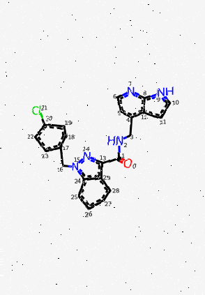 O=C(NCc1ccnc2[nH]ccc12)c1nn(Cc2ccc(Cl)cc2)c2ccccc12